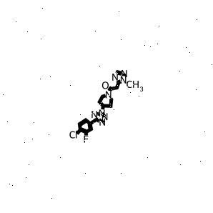 Cn1ncnc1CC(=O)N1CCC(n2nnc(-c3ccc(Cl)c(F)c3)n2)CC1